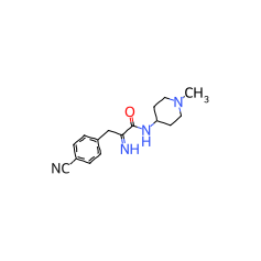 CN1CCC(NC(=O)C(=N)Cc2ccc(C#N)cc2)CC1